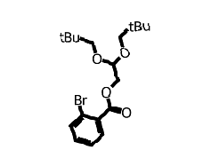 CC(C)(C)COC(COC(=O)c1ccccc1Br)OCC(C)(C)C